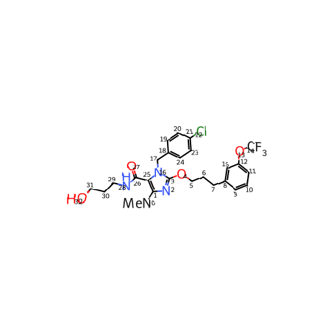 CNc1nc(OCCCc2cccc(OC(F)(F)F)c2)n(Cc2ccc(Cl)cc2)c1C(=O)NCCCO